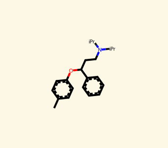 Cc1ccc(OC(CCN(C(C)C)C(C)C)c2ccccc2)cc1